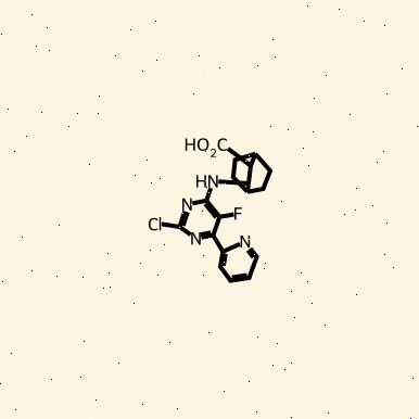 O=C(O)C1C2CCC(CC2)C1Nc1nc(Cl)nc(-c2ccccn2)c1F